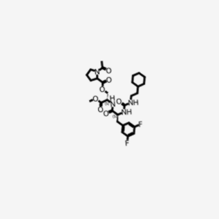 COC(=O)[C@H](COC(=O)C1CCCN1C(C)=O)NC(=O)[C@H](Cc1cc(F)cc(F)c1)NC(=O)NCCC1CCCCC1